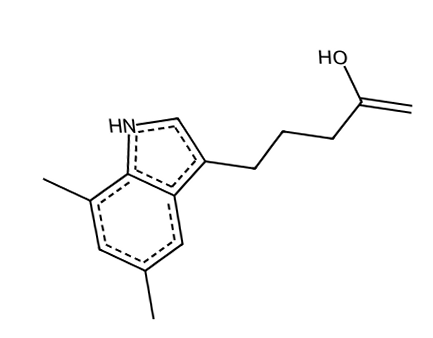 C=C(O)CCCc1c[nH]c2c(C)cc(C)cc12